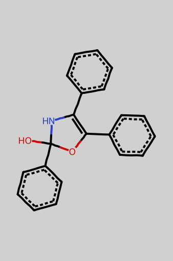 OC1(c2ccccc2)NC(c2ccccc2)=C(c2ccccc2)O1